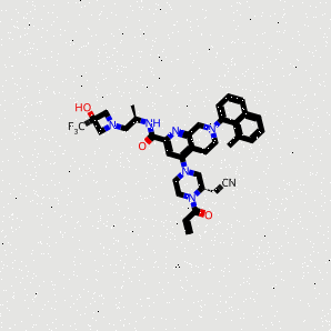 C=CC(=O)N1CCN(c2cc(C(=O)N[C@H](C)CN3CC(O)(C(F)(F)F)C3)nc3c2CCN(c2cccc4cccc(C)c24)C3)C[C@@H]1CC#N